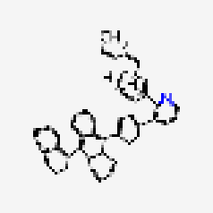 C/C=C\C=C/C(C)/C=C(\C=C/C)c1ncccc1C1=CC=C(C2=c3ccccc3=C(C3=c4ccccc4=CCC3)C3C=CC=CC23)CC1